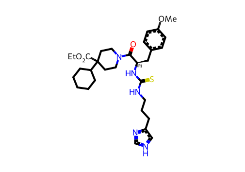 CCOC(=O)C1(C2CCCCC2)CCN(C(=O)[C@@H](Cc2ccc(OC)cc2)NC(=S)NCCCc2c[nH]cn2)CC1